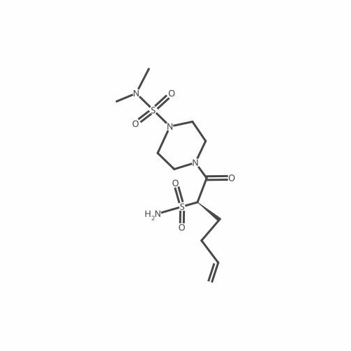 C=CCC[C@H](C(=O)N1CCN(S(=O)(=O)N(C)C)CC1)S(N)(=O)=O